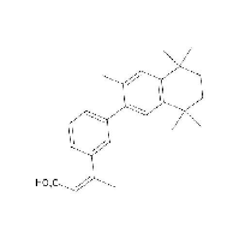 C/C(=C/C(=O)O)c1cccc(-c2cc3c(cc2C)C(C)(C)CCC3(C)C)c1